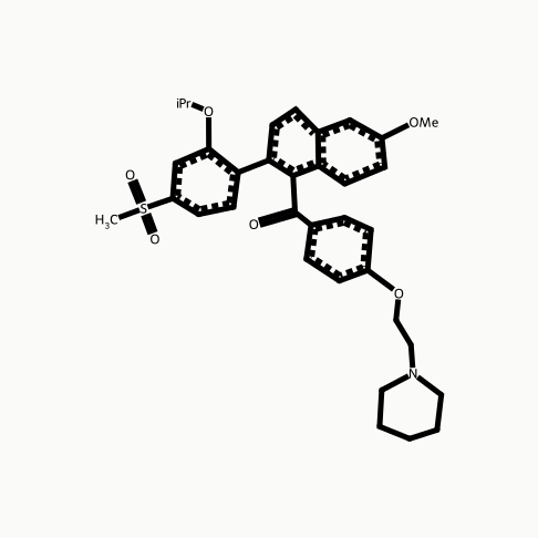 COc1ccc2c(C(=O)c3ccc(OCCN4CCCCC4)cc3)c(-c3ccc(S(C)(=O)=O)cc3OC(C)C)ccc2c1